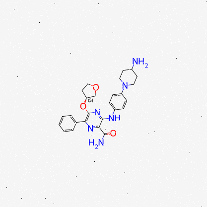 NC(=O)c1nc(-c2ccccc2)c(O[C@H]2CCOC2)nc1Nc1ccc(N2CCC(N)CC2)cc1